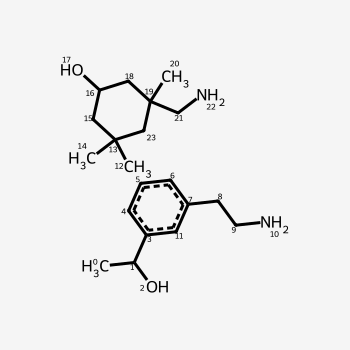 CC(O)c1cccc(CCN)c1.CC1(C)CC(O)CC(C)(CN)C1